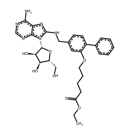 CCOC(=O)CCCCOc1cc(CNc2nc3c(N)ncnc3n2[C@@H]2O[C@H](CO)[C@@H](O)[C@H]2O)ccc1-c1ccccc1